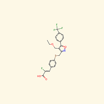 CCOCc1c(CSc2ccc(/C=C(\F)C(=O)O)cc2)noc1-c1ccc(C(F)(F)F)cc1